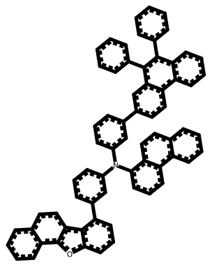 c1ccc(-c2c(-c3ccccc3)c3cc(-c4cccc(N(c5cccc(-c6cccc7oc8c9ccccc9ccc8c67)c5)c5cccc6c5ccc5ccccc56)c4)ccc3c3ccccc23)cc1